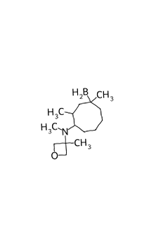 BC1(C)CCCCC(N(C)C2(C)COC2)C(C)C1